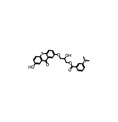 CN(C)c1cccc(C(=O)OCC(O)COc2ccc3sc4ccc(O)cc4c(=O)c3c2)c1